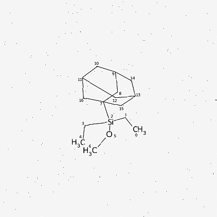 CC[Si](CC)(OC)C12CC3CC(CC(C3)C1)C2